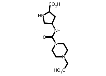 O=C(O)CN1CCN(C(=O)N[C@H]2CNC(C(=O)O)C2)CC1